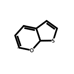 [C]1=CC=C2C=CSC2O1